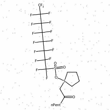 CCCCCC(=O)CS1(OS(=O)(=O)C(F)(F)C(F)(F)C(F)(F)C(F)(F)C(F)(F)C(F)(F)C(F)(F)C(F)(F)F)CCCC1